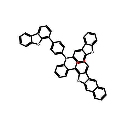 c1ccc(N(c2ccc(-c3cccc4c3oc3ccccc34)cc2)c2ccc3oc4ccccc4c3c2)c(-c2cccc3c2oc2cc4ccccc4cc23)c1